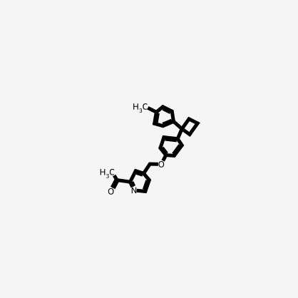 CC(=O)c1cc(COc2ccc(C3(c4ccc(C)cc4)CCC3)cc2)ccn1